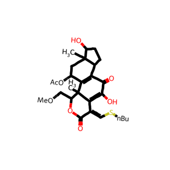 CCCCS/C=C1/C(=O)OC(COC)C2(C)C1=C(O)C(=O)C1=C2C(OC(C)=O)CC2(C)C(O)CCC12